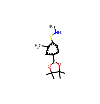 CC(C)(C)NSc1ccc(B2OC(C)(C)C(C)(C)O2)cc1C(F)(F)F